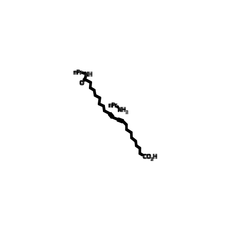 CCCN.CCCNC(=O)CCCCCCCCC#CC#CCCCCCCCCC(=O)O